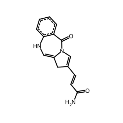 NC(=O)C=CC1=CN2C(=O)c3ccccc3NC=C2C1